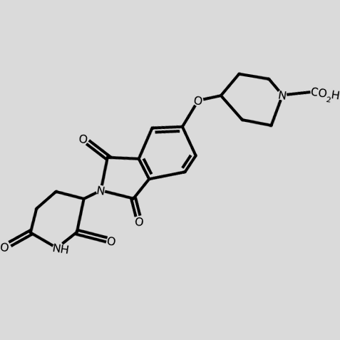 O=C1CCC(N2C(=O)c3ccc(OC4CCN(C(=O)O)CC4)cc3C2=O)C(=O)N1